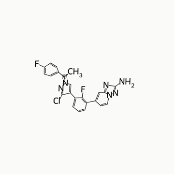 C[C@H](c1ccc(F)cc1)n1cc(-c2cccc(-c3ccn4nc(N)nc4c3)c2F)c(Cl)n1